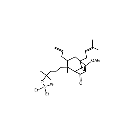 C=CCC1CC2(CC=C(C)C)C(=O)C(C(=O)C=C2OC)C1(C)CCCC(C)(C)O[Si](CC)(CC)CC